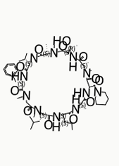 CC[C@H](C)[C@@H]1NC(=O)[C@H](CC(C)C)N(C)C(=O)CN(C)C(=O)[C@H](Cc2ccccc2)NC(=O)[C@H](C(C)C)N(C)C(=O)[C@H](C)N(C)C(=O)[C@H]([C@@H](C)O)NC(=O)[C@H](C)N(C)C(=O)C(C(=O)N2CCCCC2)NC(=O)[C@H](C)NC1=O